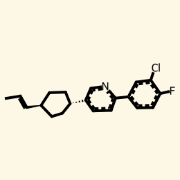 C/C=C/[C@H]1CC[C@H](c2ccc(-c3ccc(F)c(Cl)c3)nc2)CC1